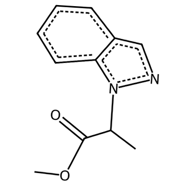 COC(=O)C(C)n1ncc2ccccc21